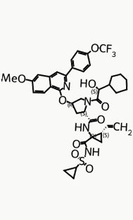 C=C[C@@H]1C[C@]1(NC(=O)[C@@H]1C[C@@H](Oc2nc(-c3ccc(OC(F)(F)F)cc3)cc3cc(OC)ccc23)CN1C(=O)[C@@H](O)C1CCCCC1)C(=O)NS(=O)(=O)C1CC1